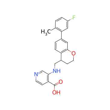 Cc1ccc(F)cc1-c1ccc2c(c1)OCCC2CNc1cnccc1C(=O)O